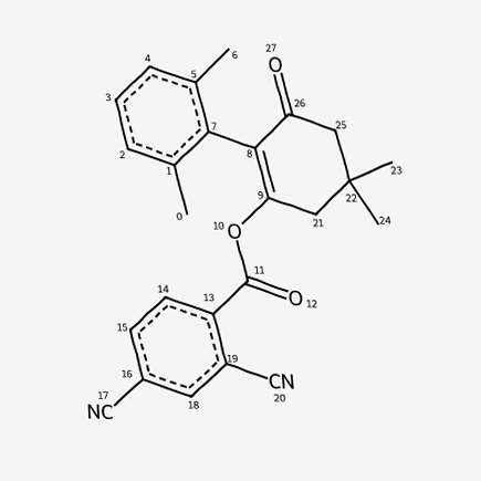 Cc1cccc(C)c1C1=C(OC(=O)c2ccc(C#N)cc2C#N)CC(C)(C)CC1=O